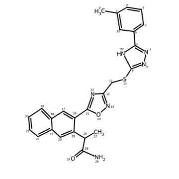 Cc1cccc(-c2nnc(SCc3noc(-c4cc5ccccc5cc4C(C)C(N)=O)n3)[nH]2)c1